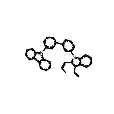 C=Cc1c(/C=C\C)n(-c2cccc(-c3cccc(-n4c5ccccc5c5ccccc54)c3)c2)c2ccccc12